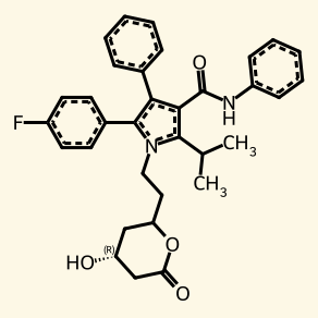 CC(C)c1c(C(=O)Nc2ccccc2)c(-c2ccccc2)c(-c2ccc(F)cc2)n1CCC1C[C@@H](O)CC(=O)O1